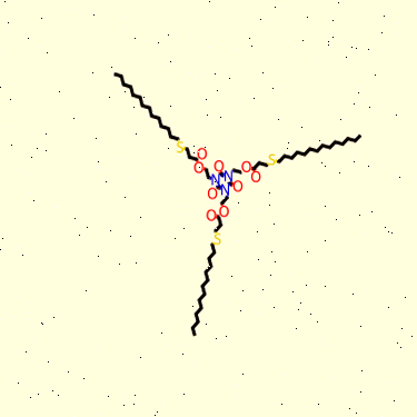 CCCCCCCCCCCCCCSCCC(=O)OCCn1c(=O)n(CCOC(=O)CCSCCCCCCCCCCCCCC)c(=O)n(CCOC(=O)CCSCCCCCCCCCCCCCC)c1=O